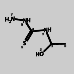 CC(O)NC(=S)NN